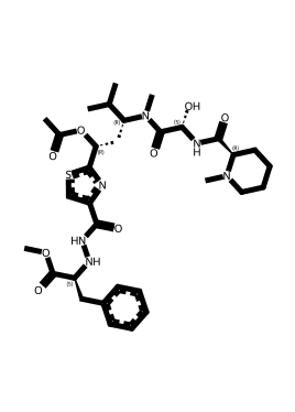 COC(=O)[C@H](Cc1ccccc1)NNC(=O)c1csc([C@@H](C[C@H](C(C)C)N(C)C(=O)[C@H](O)NC(=O)[C@H]2CCCCN2C)OC(C)=O)n1